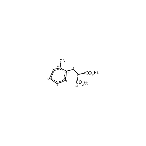 CCOC(=O)C(Cc1ccccc1C#N)C(=O)OCC